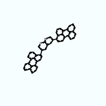 c1cc2cccc3c4ccc(-c5cnc6ncc(-c7ccc8c9cccc%10cccc(c%11cccc7c%118)c%109)cc6c5)c5cccc(c(c1)c23)c54